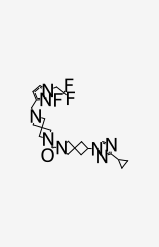 O=C(N1CC2(CC(n3cnc(C4CC4)n3)C2)C1)N1CC2(CN(Cc3ccn(CC(F)(F)F)n3)C2)C1